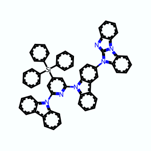 c1ccc([Si](c2ccccc2)(c2ccccc2)c2cc(-n3c4ccccc4c4ccccc43)nc(-n3c4ccccc4c4cc(-n5c6ccccc6n6c7ccccc7nc56)ccc43)c2)cc1